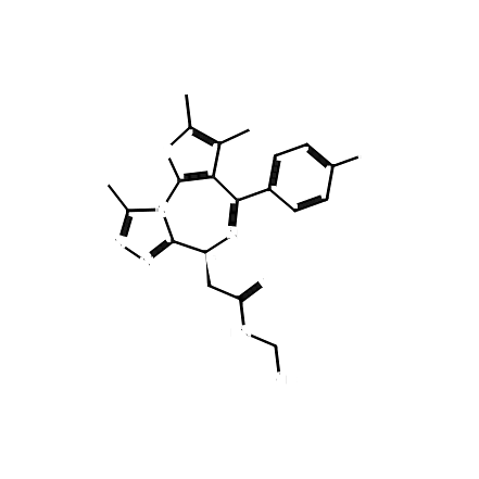 Cc1sc2c(c1C)C(c1ccc(Cl)cc1)=N[C@@H](CC(=O)NCC=O)c1nnc(C)n1-2